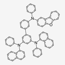 c1ccc(N(c2cccc(-c3cc(N(c4ccccc4)c4cccc5ccccc45)cc(N(c4ccccc4)c4cccc5ccccc45)c3)c2)c2ccc3oc4ccccc4c3c2)cc1